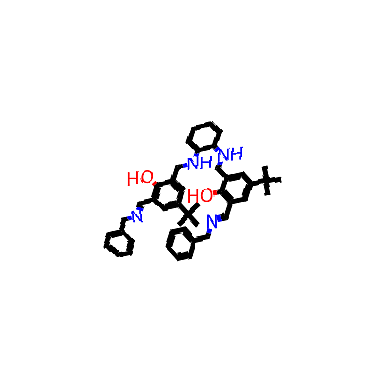 CC(C)(C)c1cc(/C=N/Cc2ccccc2)c(O)c(CNC2CCCCC2NCc2cc(C(C)(C)C)cc(/C=N/Cc3ccccc3)c2O)c1